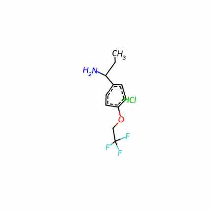 CCC(N)c1ccc(OCC(F)(F)F)cc1.Cl